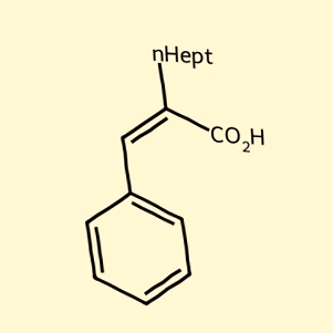 CCCCCCCC(=Cc1ccccc1)C(=O)O